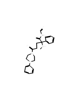 CNC(CCC(=O)N1CCN(c2ccccc2)CC1)(C(=O)NC=O)c1ccccc1